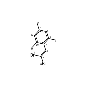 Cc1cc(C)c(C=C(Br)Br)c(C)c1